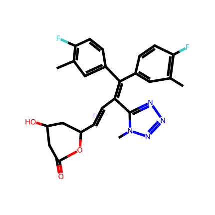 Cc1cc(C(=C(/C=C/C2CC(O)CC(=O)O2)c2nnnn2C)c2ccc(F)c(C)c2)ccc1F